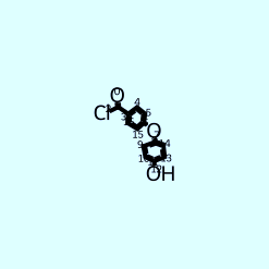 O=C(Cl)c1ccc(Oc2ccc(O)cc2)cc1